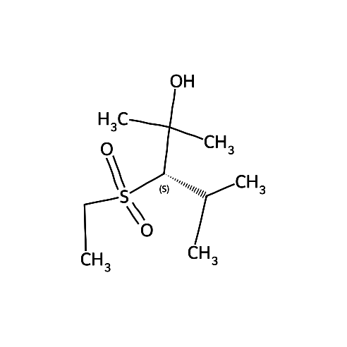 CCS(=O)(=O)[C@@H](C(C)C)C(C)(C)O